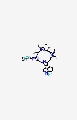 CCC1=C(CC)c2nc1c(CC)c1[nH]c(cc3nc(cc4c(CC)c(CC)c(c2CC)n4CC)C=C3)cc1CC.[F-].[F-].[F-].[F-].[Sn+4].c1ccc2ncccc2c1